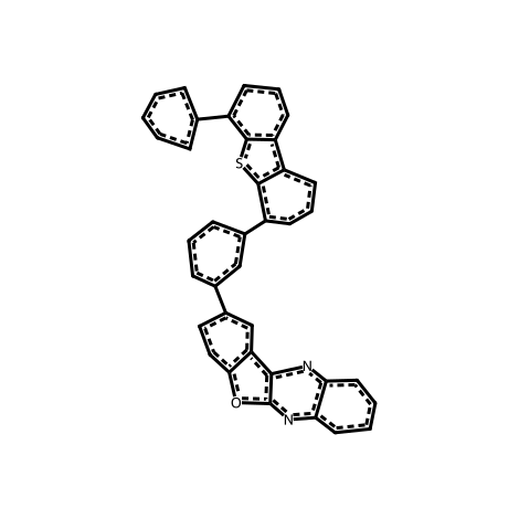 c1ccc(-c2cccc3c2sc2c(-c4cccc(-c5ccc6oc7nc8ccccc8nc7c6c5)c4)cccc23)cc1